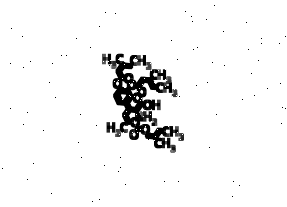 CCC(C)COC(=O)OC(C)CC(c1ccc(OC(=O)CC(C)CC)c(OC(=O)CC(C)CC)c1)[C@H](N)C(=O)O